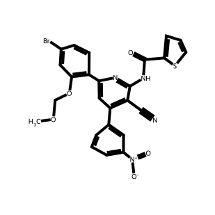 COCOc1cc(Br)ccc1-c1cc(-c2cccc([N+](=O)[O-])c2)c(C#N)c(NC(=O)c2cccs2)n1